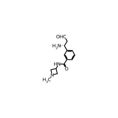 CN1CC(NC(=O)c2cccc([C@H](N)CC=O)c2)C1